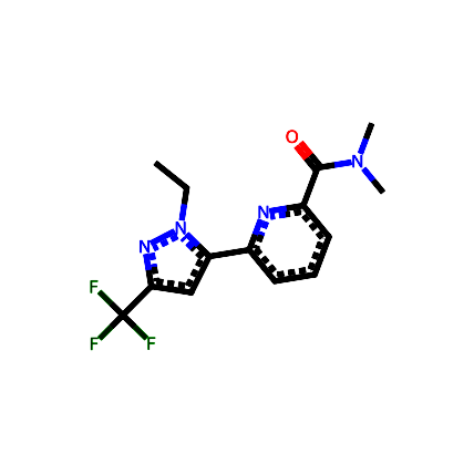 CCn1nc(C(F)(F)F)cc1-c1cccc(C(=O)N(C)C)n1